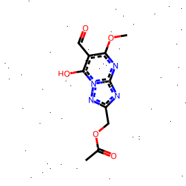 COc1nc2nc(COC(C)=O)nn2c(O)c1C=O